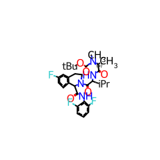 CC(C)C(NC(=O)[C@H](C)N(C)C(=O)OC(C)(C)C)C(=O)N1CCc2cc(F)ccc2C1C(=O)Nc1c(F)cccc1F